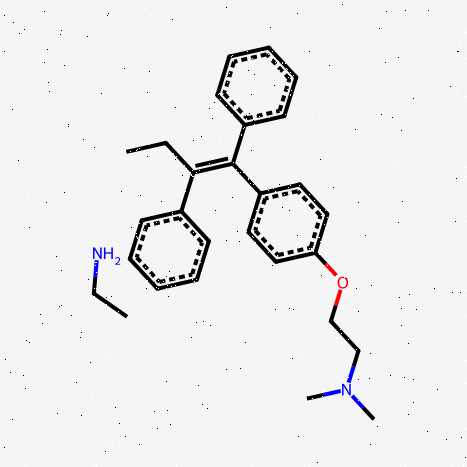 CC/C(=C(\c1ccccc1)c1ccc(OCCN(C)C)cc1)c1ccccc1.CCN